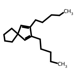 CCCCCC1=CC2(C=C1CCCCC)CCCC2